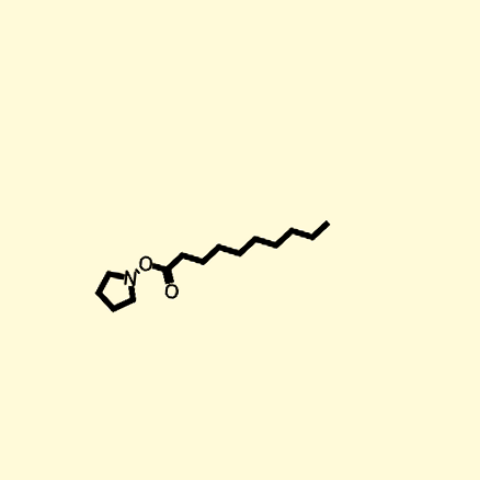 CCCCCCCCCC(=O)ON1CCCC1